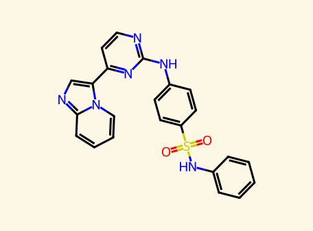 O=S(=O)(Nc1ccccc1)c1ccc(Nc2nccc(-c3cnc4ccccn34)n2)cc1